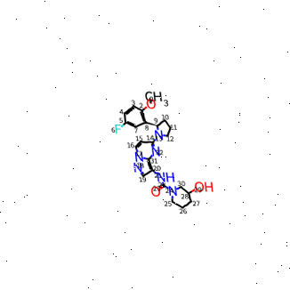 COc1ccc(F)cc1[C@H]1CCCN1c1ccn2ncc(NC(=O)N3CCCC(O)C3)c2n1